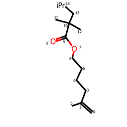 C=C(C)CCCCOC(=O)C(C)(C)CC(C)C